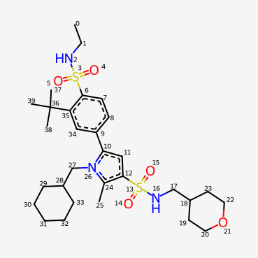 CCNS(=O)(=O)c1ccc(-c2cc(S(=O)(=O)NCC3CCOCC3)c(C)n2CC2CCCCC2)cc1C(C)(C)C